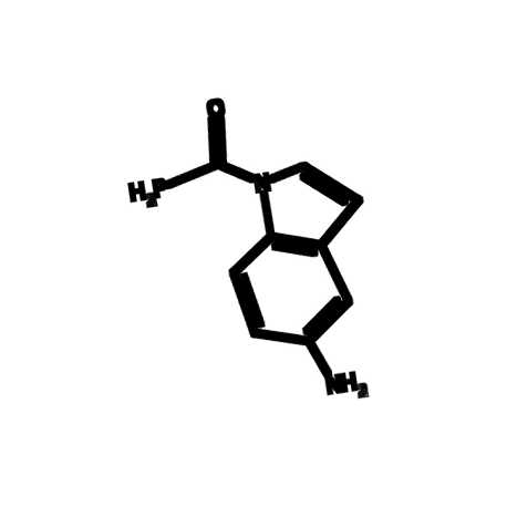 Nc1ccc2c(ccn2C(=O)P)c1